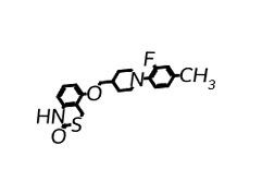 Cc1ccc(N2CCC(COc3cccc4c3CSC(=O)N4)CC2)c(F)c1